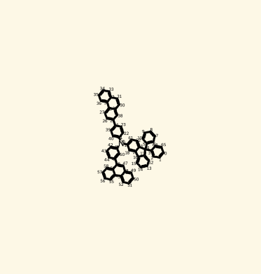 c1ccc(C2(c3ccccc3)c3ccccc3-c3cc(N(c4ccc(-c5ccc6c(ccc7ccccc76)c5)cc4)c4cccc(-c5cc6ccccc6c6ccccc56)c4)ccc32)cc1